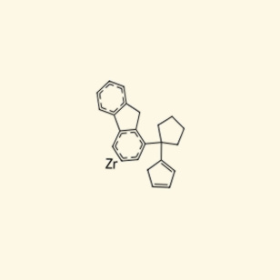 C1=CCC(C2(c3cccc4c3Cc3ccccc3-4)CCCC2)=C1.[Zr]